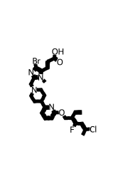 C=C/C(COc1cccc(C2CCN(Cc3nc(Br)c(/C=C/C(=O)O)n3C)CC2)n1)=C(F)\C=C(/C)Cl